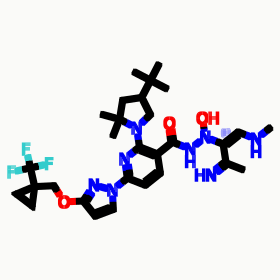 CN/C=C(\C(C)=N)N(O)NC(=O)c1ccc(-n2ccc(OCC3(C(F)(F)F)CC3)n2)nc1N1CC(C(C)(C)C)CC1(C)C